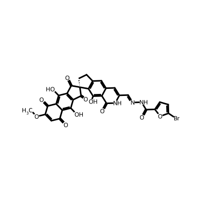 COC1=CC(=O)c2c(O)c3c(c(O)c2C1=O)C(=O)[C@]1(CCc2cc4cc(C=NNC(=O)c5ccc(Br)o5)[nH]c(=O)c4c(O)c21)C3=O